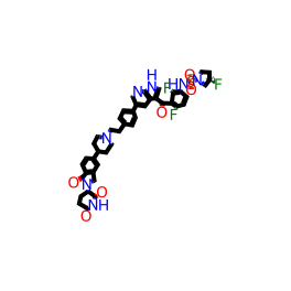 O=C1CCC(N2Cc3cc(C4CCN(CCc5ccc(-c6cnc7[nH]cc(C(=O)c8c(F)ccc(NS(=O)(=O)N9CC[C@@H](F)C9)c8F)c7c6)cc5)CC4)ccc3C2=O)C(=O)N1